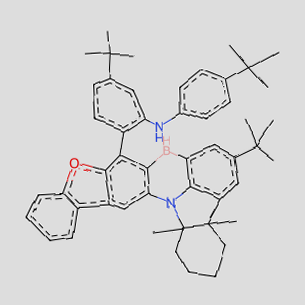 CC(C)(C)c1ccc(Nc2cc(C(C)(C)C)ccc2-c2c3c(cc4c2oc2ccccc24)N2c4c(cc(C(C)(C)C)cc4C4(C)CCCCC24C)B3)cc1